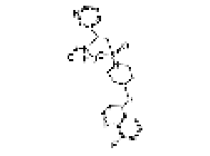 O=CN(O)C(CS(=O)(=O)N1CCC(Oc2ccnc3c(F)cccc23)CC1)c1cccnc1